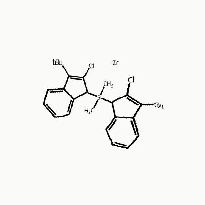 CC(C)(C)C1=C(Cl)C([Si](C)(C)C2C(Cl)=C(C(C)(C)C)c3ccccc32)c2ccccc21.[Zr]